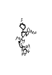 COc1nc(C(=O)Nc2ccc3nc(N(C)C(C)C)[nH]c3c2)ccc1-c1ccc(F)cc1